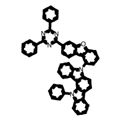 c1ccc(-c2nc(-c3ccccc3)nc(-c3ccc4c(c3)oc3cccc(-n5c6ccccc6c6c5ccc5c7ccccc7n(-c7ccccc7)c56)c34)n2)cc1